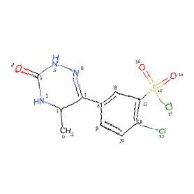 CC1NC(=O)NN=C1c1ccc(Cl)c(S(=O)(=O)Cl)c1